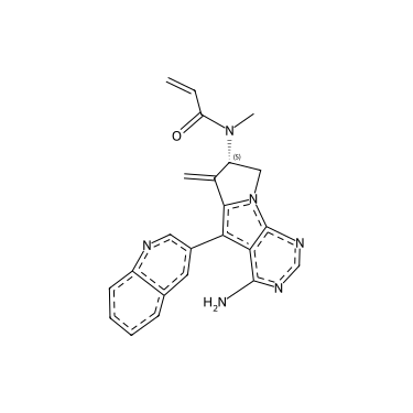 C=CC(=O)N(C)[C@@H]1Cn2c(c(-c3cnc4ccccc4c3)c3c(N)ncnc32)C1=C